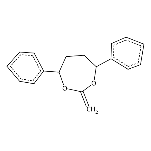 C=C1OC(c2ccccc2)CCC(c2ccccc2)O1